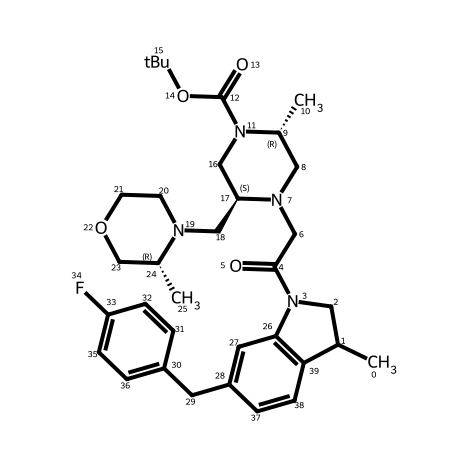 CC1CN(C(=O)CN2C[C@@H](C)N(C(=O)OC(C)(C)C)C[C@@H]2CN2CCOC[C@H]2C)c2cc(Cc3ccc(F)cc3)ccc21